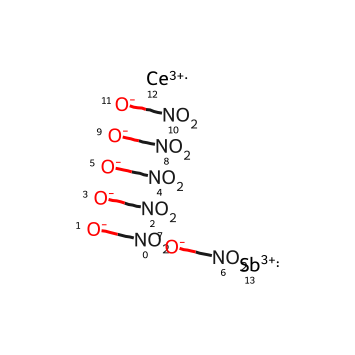 O=[N+]([O-])[O-].O=[N+]([O-])[O-].O=[N+]([O-])[O-].O=[N+]([O-])[O-].O=[N+]([O-])[O-].O=[N+]([O-])[O-].[Ce+3].[Sb+3]